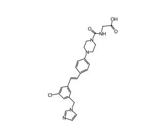 O=C(O)CNC(=O)N1CCN(c2ccc(C=Cc3cc(Cl)cc(Cn4ccnc4)c3)cc2)CC1